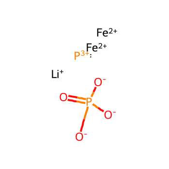 O=P([O-])([O-])[O-].[Fe+2].[Fe+2].[Li+].[P+3]